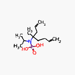 C=CCCC(C)(CC=C)N(C(C)C)P(=O)(O)O